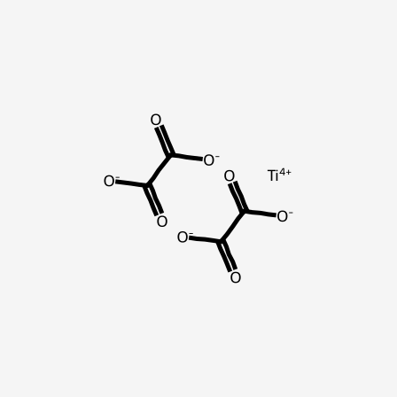 O=C([O-])C(=O)[O-].O=C([O-])C(=O)[O-].[Ti+4]